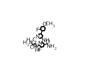 CC[C@@H](Nc1nc(Nc2cncc(-c3ccc(OC)cc3F)c2)c(C(N)=O)cc1F)[C@H](C)N